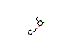 CCc1cc(F)cc(OCCN2CCCC2)c1